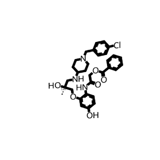 C[C@](O)(CNC1CCN(Cc2ccc(Cl)cc2)CC1)COc1cc(O)ccc1NC(=O)COC(=O)c1ccccc1